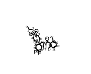 CCCS(=O)(=O)N1CCN(C2(CNC(=O)c3c(C)cccc3C)CCC(F)(F)CC2)CC1